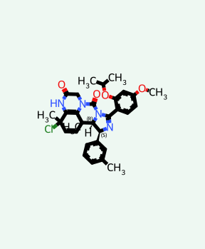 COc1ccc(C2=N[C@@H](c3cccc(C)c3)[C@@H]3N2C(=O)N2CC(=O)NC4=C2C3(C)C=CC4(C)Cl)c(OC(C)C)c1